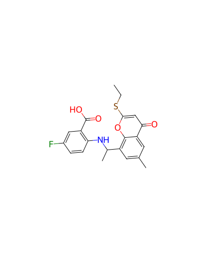 CCSc1cc(=O)c2cc(C)cc(C(C)Nc3ccc(F)cc3C(=O)O)c2o1